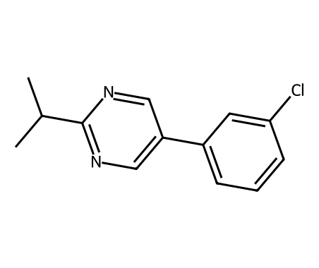 CC(C)c1ncc(-c2cccc(Cl)c2)cn1